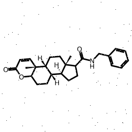 C[C@]12C=CC(=O)OC1CC[C@@H]1[C@H]2CC[C@]2(C)C(C(=O)NCc3ccccc3)CC[C@@H]12